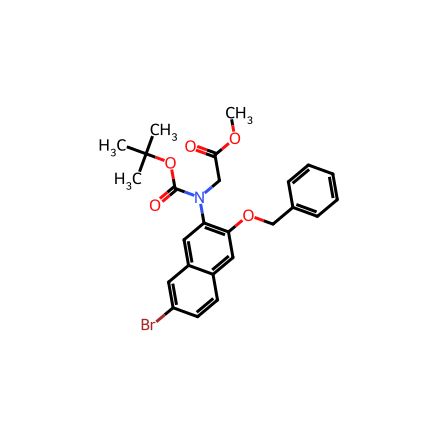 COC(=O)CN(C(=O)OC(C)(C)C)c1cc2cc(Br)ccc2cc1OCc1ccccc1